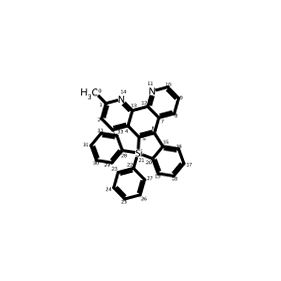 Cc1ccc2c3c(c4cccnc4c2n1)-c1ccccc1[Si]3(c1ccccc1)c1ccccc1